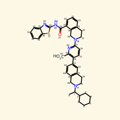 CC(C1CCCCC1)N1CCc2cc(-c3ccc(N4CCc5cccc(C(=O)Nc6nc7ccccc7s6)c5C4)nc3C(=O)O)ccc2C1